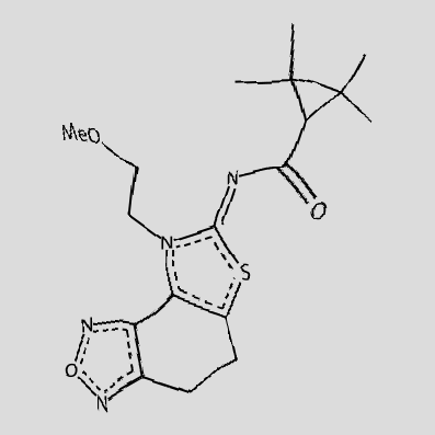 COCCn1c2c(sc1=NC(=O)C1C(C)(C)C1(C)C)CCc1nonc1-2